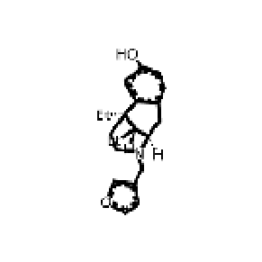 CC[C@H]1[C@H]2Cc3ccc(O)cc3[C@]1(CC)CCN2Cc1ccoc1